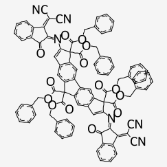 N#CC(C#N)=C1/C(=N/C2=Cc3cc4c(cc3C2(C(=O)OCc2ccccc2)C(=O)OCc2ccccc2)-c2cc3c(cc2C4(C(=O)OCc2ccccc2)C(=O)OCc2ccccc2)C=C(/N=C2\C(=O)c4ccccc4C2=C(C#N)C#N)C3(C(=O)OCc2ccccc2)C(=O)OCc2ccccc2)C(=O)c2ccccc21